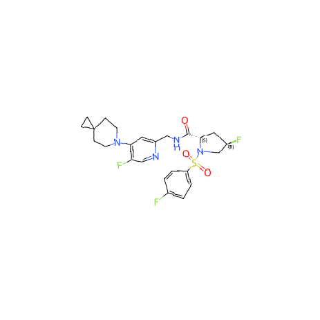 O=C(NCc1cc(N2CCC3(CC2)CC3)c(F)cn1)[C@@H]1C[C@@H](F)CN1S(=O)(=O)c1ccc(F)cc1